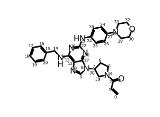 C=CC(=O)N1CC[C@H](n2cnc3c(NCc4ccccc4)nc(Nc4ccc(N5CCOCC5)cc4)nc32)C1